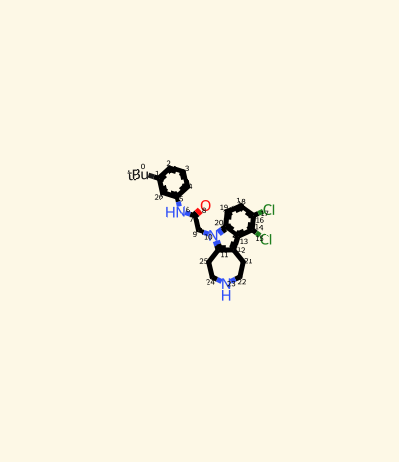 CC(C)(C)c1cccc(NC(=O)Cn2c3c(c4c(Cl)c(Cl)ccc42)CCNCC3)c1